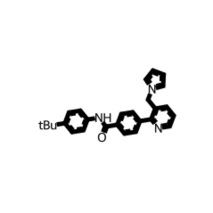 CC(C)(C)c1ccc(NC(=O)c2ccc(-c3ncccc3Cn3cccc3)cc2)cc1